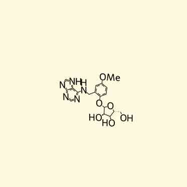 COc1ccc(OC2O[C@H](CO)[C@@H](O)[C@H]2O)c(CNc2ncnc3nc[nH]c23)c1